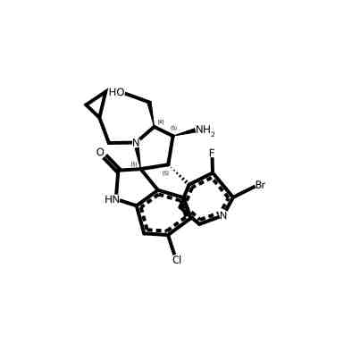 N[C@@H]1[C@H](CO)N(CC2CC2)[C@@]2(C(=O)Nc3cc(Cl)ccc32)[C@H]1c1ccnc(Br)c1F